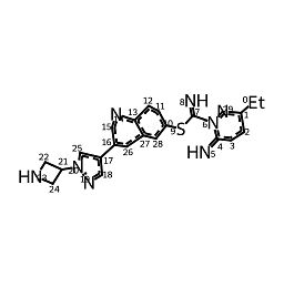 CCc1ccc(=N)n(C(=N)Sc2ccc3ncc(-c4cnn(C5CNC5)c4)cc3c2)n1